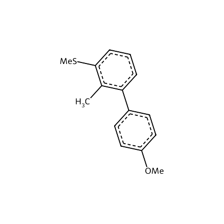 COc1ccc(-c2cccc(SC)c2C)cc1